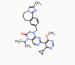 COc1ncnc(C2CC2)c1-c1ncc2c(n1)N(Cc1ccc3c(c1)CCCn1cc(C)nc1-3)CC(=O)N2C(C)C